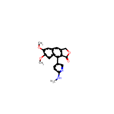 CNc1ccc(-c2c3c(cc4cc(OC)c(OC)cc24)COC3=O)cn1